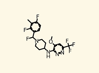 COc1cc(C(F)(F)F)nnc1NC1CCN(C(F)c2ccc(F)c(C)c2F)CC1